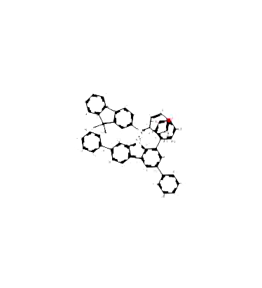 CC1(C)c2ccccc2-c2ccc(N(C3C=CC=CC3)n3c4cc(-c5ccccc5)ccc4c4cc(-c5ccccc5)cc(-c5ccccc5)c43)cc21